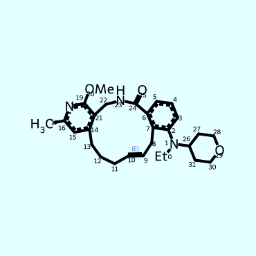 CCN(c1cccc2c1C/C=C/CCCc1cc(C)nc(OC)c1CNC2=O)C1CCOCC1